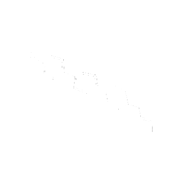 CCCOc1ccc(-c2ccc(C3CCC(CC=CF)CC3)cc2)cc1